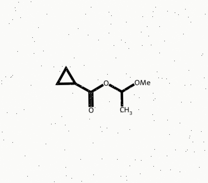 COC(C)OC(=O)C1CC1